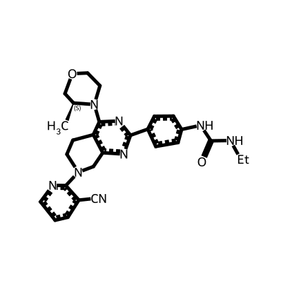 CCNC(=O)Nc1ccc(-c2nc3c(c(N4CCOC[C@@H]4C)n2)CCN(c2ncccc2C#N)C3)cc1